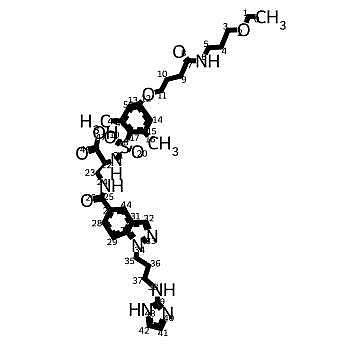 CCOCCCNC(=O)CCCOc1cc(C)c(S(=O)(=O)N[C@@H](CNC(=O)c2ccc3c(cnn3CCCNc3ncc[nH]3)c2)C(=O)O)c(C)c1